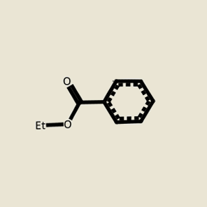 CCOC(=O)c1[c]cccc1